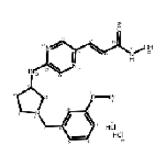 CC(C)Oc1cccc(CN2CC[C@@H](Nc3cnc(C=CC(=O)NO)cn3)C2)c1.Cl.Cl